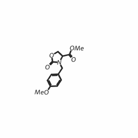 COC(=O)C1COC(=O)N1Cc1ccc(OC)cc1